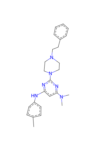 Cc1ccc(Nc2cc(N(C)C)nc(N3CCN(CCc4ccccc4)CC3)n2)cc1